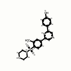 Cc1cc(-c2cncc(-c3ccc(O)cc3)n2)ccc1S(=O)(=O)N1CCOCC1